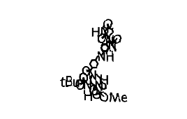 COC(=O)[C@@H]1CC[C@@H]2CCN(C(=O)C3CCC(CNc4ccc5c(c4)n(C)c(=O)n5C4CCC(=O)NC4=O)CC3)C[C@H](NC(=O)OC(C)(C)C)C(=O)N21